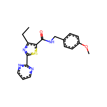 CCc1nc(-c2ncccn2)sc1C(=O)NCc1ccc(OC)cc1